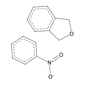 O=[N+]([O-])c1ccccc1.c1ccc2c(c1)COC2